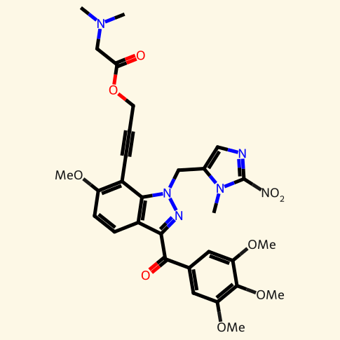 COc1cc(C(=O)c2nn(Cc3cnc([N+](=O)[O-])n3C)c3c(C#CCOC(=O)CN(C)C)c(OC)ccc23)cc(OC)c1OC